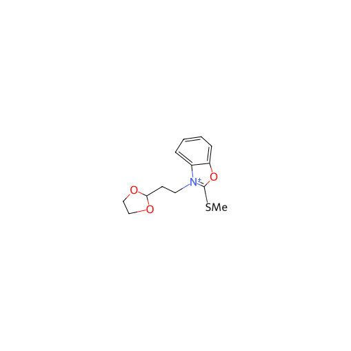 CSc1oc2ccccc2[n+]1CCC1OCCO1